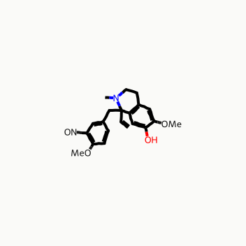 C=CC1(Cc2ccc(OC)c(N=O)c2)c2cc(O)c(OC)cc2CCN1C